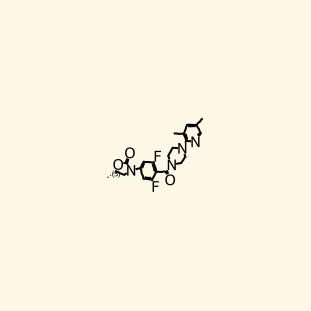 Cc1cnc(N2CCN(C(=O)c3c(F)cc(N4C[C@H](C)OC4=O)cc3F)CC2)c(C)c1